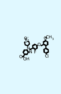 COc1ccc(-c2ccc(Cl)cc2)c(COc2ccc(-c3nc4cc(C(=O)O)ccc4n3C3CC[S+]([O-])CC3)c(F)c2)c1